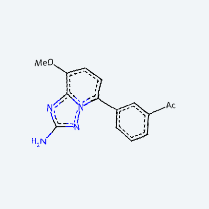 COc1ccc(-c2cccc(C(C)=O)c2)n2nc(N)nc12